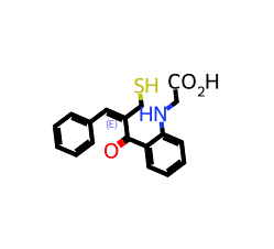 O=C(O)CNc1ccccc1C(=O)/C(=C\c1ccccc1)CS